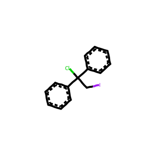 ClC(CI)(c1ccccc1)c1ccccc1